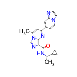 Cc1cc(-c2ccn3ccnc3c2)nc2c(C(=O)NC(C)C3CC3)ncn12